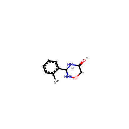 CC(=O)c1ccccc1C1NOCC(=O)N1